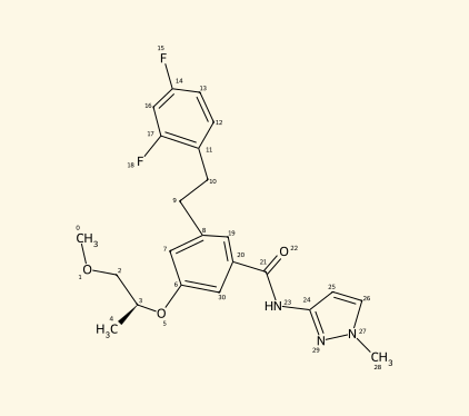 COC[C@H](C)Oc1cc(CCc2ccc(F)cc2F)cc(C(=O)Nc2ccn(C)n2)c1